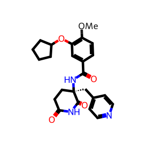 COc1ccc(C(=O)N[C@]2(Cc3ccncc3)CCC(=O)NC2=O)cc1OC1CCCC1